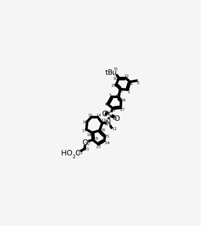 Cc1cc(-c2ccc(S(=O)(=O)N(C)C3CCCCc4c(OCC(=O)O)cccc43)cc2)cc(C(C)(C)C)c1